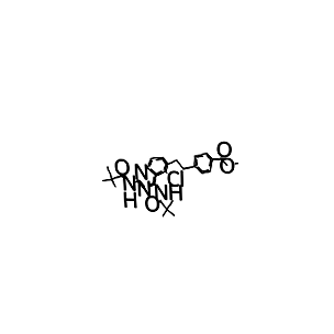 COC(=O)c1ccc(CCc2ccc3nc(NC(=O)C(C)(C)C)nc(NC(=O)C(C)(C)C)c3c2Cl)cc1